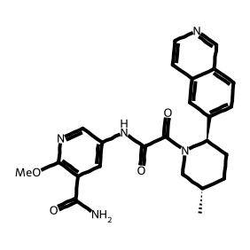 COc1ncc(NC(=O)C(=O)N2C[C@@H](C)CC[C@@H]2c2ccc3cnccc3c2)cc1C(N)=O